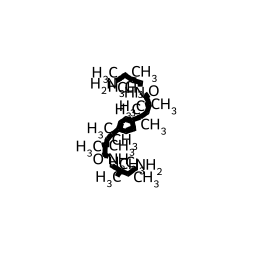 CC(C)(N)CC(C)(C)CNC(=O)C(C)(C)CC(C)(C)c1ccc(C(C)(C)CC(C)(C)C(=O)NCC(C)(C)CC(C)(C)N)cc1